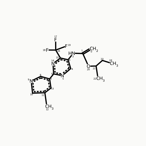 C=C(Nc1cnc(-c2cncc(C)c2)nc1C(F)(F)F)OC(C)CC